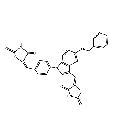 O=C1NC(=O)/C(=C\c2ccc(-n3cc(/C=C4/SC(=O)NC4=O)c4cc(OCc5ccccc5)ccc43)cc2)S1